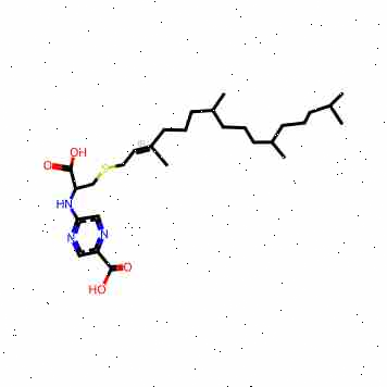 C/C(=C\CSCC(Nc1cnc(C(=O)O)cn1)C(=O)O)CCCC(C)CCCC(C)CCCC(C)C